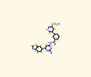 CCOC(=O)c1cncc(-c2cccc(C(C)Nc3cc(-c4ccc5ncsc5c4)nc(C)n3)c2)c1